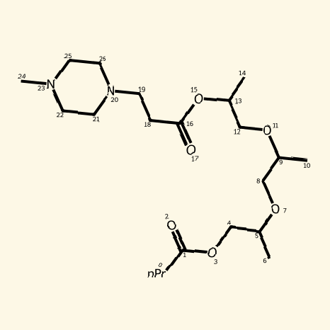 CCCC(=O)OCC(C)OCC(C)OCC(C)OC(=O)CCN1CCN(C)CC1